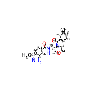 CC(N)c1ccc(C(=O)NCC2COCCN2C(=O)c2cccc(C(F)(F)F)c2)cc1